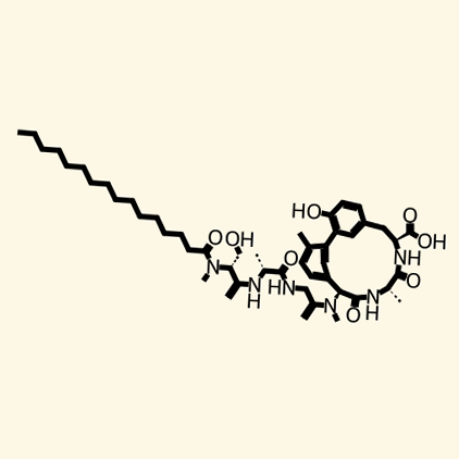 C=C(N[C@H](C)C(=O)NCC(=C)N(C)[C@@H]1C(=O)N[C@@H](C)C(=O)N[C@H](C(=O)O)Cc2ccc(O)c(c2)-c2cc1ccc2C)[C@@H](CO)N(C)C(=O)CCCCCCCCCCCCCCC